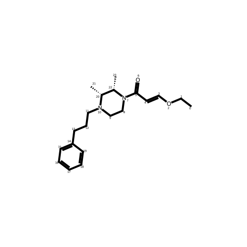 CCOC=CC(=O)N1CCN(CCCc2ccccc2)[C@H](C)[C@@H]1C